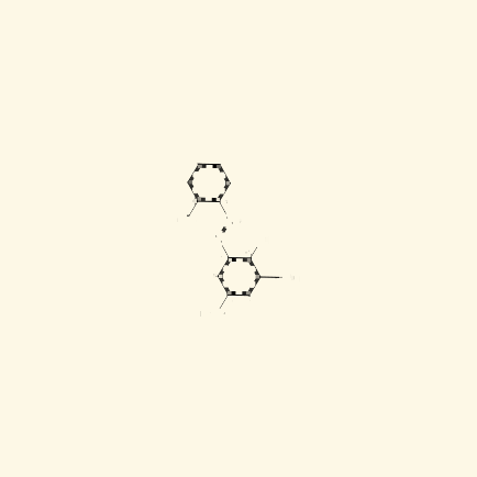 CCC(C)c1cc(C(C)(C)C)cc(N=Nc2ccccc2Cl)c1O